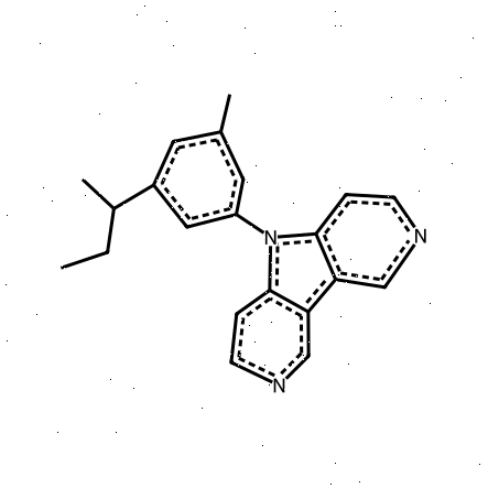 CCC(C)c1cc(C)cc(-n2c3ccncc3c3cnccc32)c1